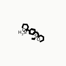 C=C[SiH2]C1(Cc2ccc(C3([SiH3])CCCCO3)cc2)CCCCO1